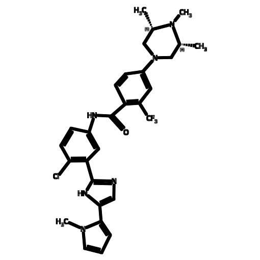 C[C@@H]1CN(c2ccc(C(=O)Nc3ccc(Cl)c(-c4ncc(-c5cccn5C)[nH]4)c3)c(C(F)(F)F)c2)C[C@H](C)N1C